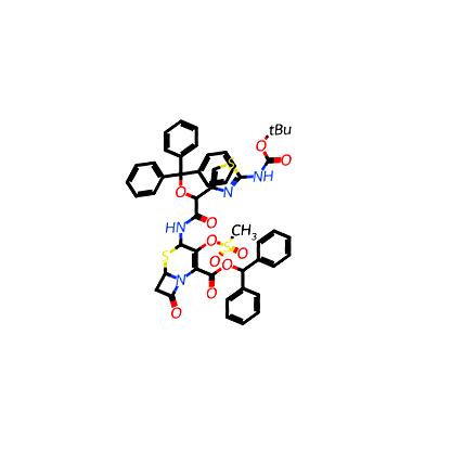 CC(C)(C)OC(=O)Nc1nc(C(OC(c2ccccc2)(c2ccccc2)c2ccccc2)C(=O)NC2SC3CC(=O)N3C(C(=O)OC(c3ccccc3)c3ccccc3)=C2OS(C)(=O)=O)cs1